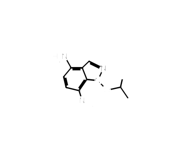 CC(C)On1ncc2c(N)ccc(N)c21